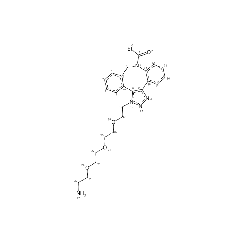 CCC(=O)N1Cc2ccccc2-c2c(nnn2CCOCCOCCOCCN)-c2ccccc21